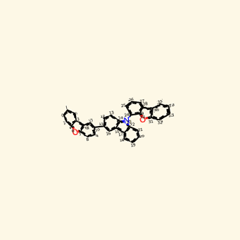 c1ccc2c(c1)oc1ccc(-c3ccc4c(c3)c3ccccc3n4-c3cccc4c3oc3ccccc34)cc12